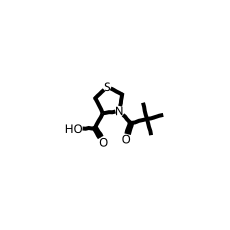 CC(C)(C)C(=O)N1CSCC1C(=O)O